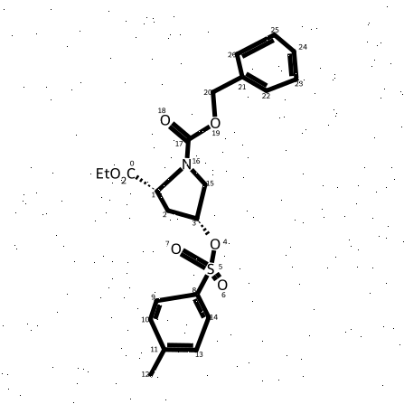 CCOC(=O)[C@H]1C[C@@H](OS(=O)(=O)c2ccc(C)cc2)CN1C(=O)OCc1ccccc1